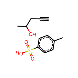 C#CCC(C)O.Cc1ccc(S(=O)(=O)O)cc1